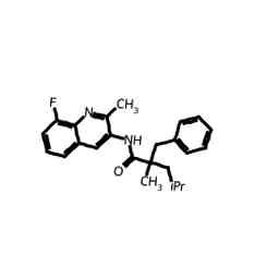 Cc1nc2c(F)cccc2cc1NC(=O)C(C)(Cc1ccccc1)CC(C)C